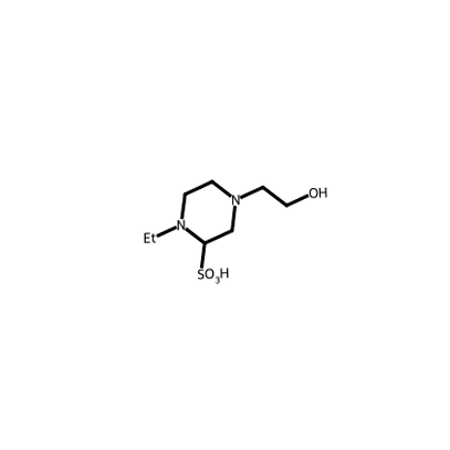 CCN1CCN(CCO)CC1S(=O)(=O)O